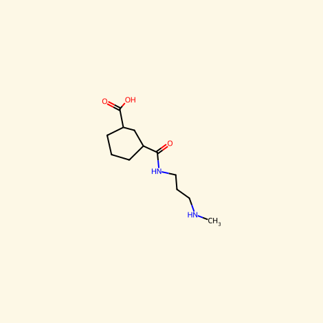 CNCCCNC(=O)C1CCCC(C(=O)O)C1